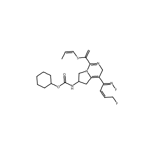 C=C(S/C=C\C)C1=NCC(C(/C=C\CF)=N/F)=C2CC(NC(=O)OC3CCCCC3)CN12